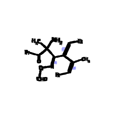 CC\C=C(C)/C(=C\CC)C(=N/OC=O)/C(C)(N)C(=O)C(C)C